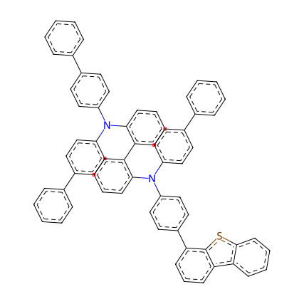 c1ccc(-c2ccc(N(c3ccc(-c4ccccc4)cc3)c3ccccc3-c3ccccc3N(c3ccc(-c4ccccc4)cc3)c3ccc(-c4cccc5c4sc4ccccc45)cc3)cc2)cc1